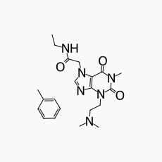 CCNC(=O)Cn1cnc2c1c(=O)n(C)c(=O)n2CCN(C)C.Cc1ccccc1